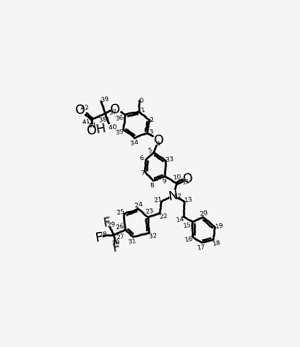 Cc1cc(Oc2cccc(C(=O)N(CCc3ccccc3)CCc3ccc(C(F)(F)F)cc3)c2)ccc1OC(C)(C)C(=O)O